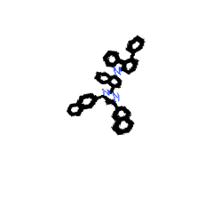 c1ccc(-c2cccc3c2c2ccccc2n3-c2ccc(-c3nc(-c4ccc5ccccc5c4)cc(-c4ccc5ccccc5c4)n3)c3ccccc23)cc1